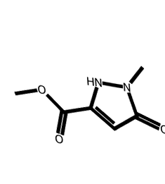 COC(=O)c1cc(=O)n(C)[nH]1